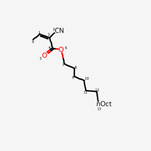 CC=C(C#N)C(=O)OCCCCCCCCCCCCCC